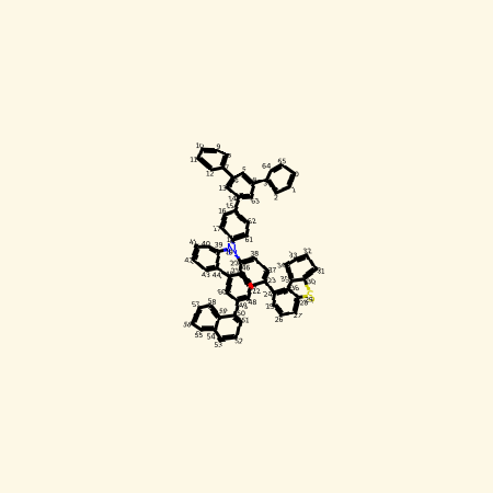 c1ccc(-c2cc(-c3ccccc3)cc(-c3ccc(N(c4ccc(-c5cccc6sc7ccccc7c56)cc4)c4ccccc4-c4cccc(-c5cccc6ccccc56)c4)cc3)c2)cc1